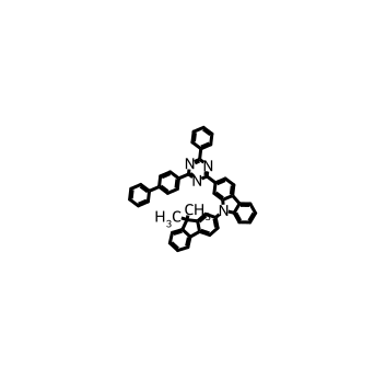 CC1(C)c2ccccc2-c2ccc(-n3c4ccccc4c4ccc(-c5nc(-c6ccccc6)nc(-c6ccc(-c7ccccc7)cc6)n5)cc43)cc21